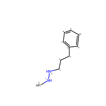 CCCNNCCCc1ccccc1